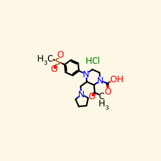 CC(=O)C1C(CN2CCCC2)N(c2ccc(S(C)(=O)=O)cc2)CCN1C(=O)O.Cl